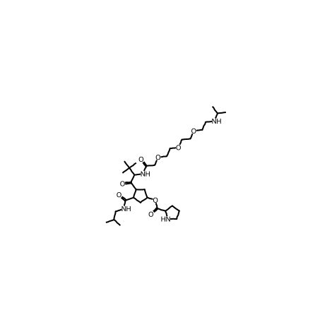 CC(C)CNC(=O)C1CC(OC(=O)C2CCCN2)CC1C(=O)C(NC(=O)COCCOCCOCCNC(C)C)C(C)(C)C